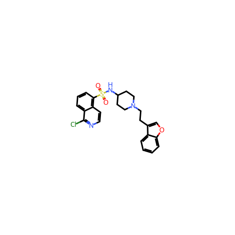 O=S(=O)(NC1CCN(CCc2coc3ccccc23)CC1)c1cccc2c(Cl)nccc12